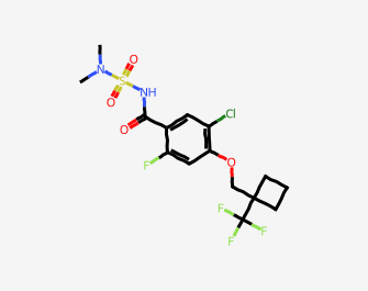 CN(C)S(=O)(=O)NC(=O)c1cc(Cl)c(OCC2(C(F)(F)F)CCC2)cc1F